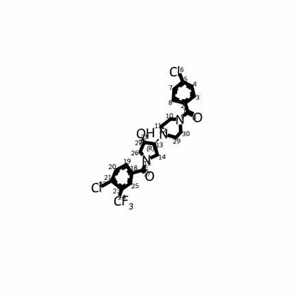 O=C(c1ccc(Cl)cc1)N1CCN([C@@H]2CN(C(=O)c3ccc(Cl)c(C(F)(F)F)c3)C[C@H]2O)CC1